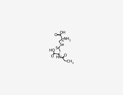 CCC(=O)N[C@@H](C[Se][Se]C[C@H](N)C(=O)O)C(=O)O